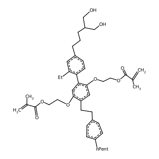 C=C(C)C(=O)OCCOc1cc(-c2ccc(CCCC(CO)CO)cc2CC)c(OCCOC(=O)C(=C)C)cc1CCc1ccc(CCCCC)cc1